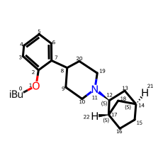 CCC(C)Oc1ccccc1C1CCN([C@H]2C[C@H]3CC[C@H]2C3)CC1